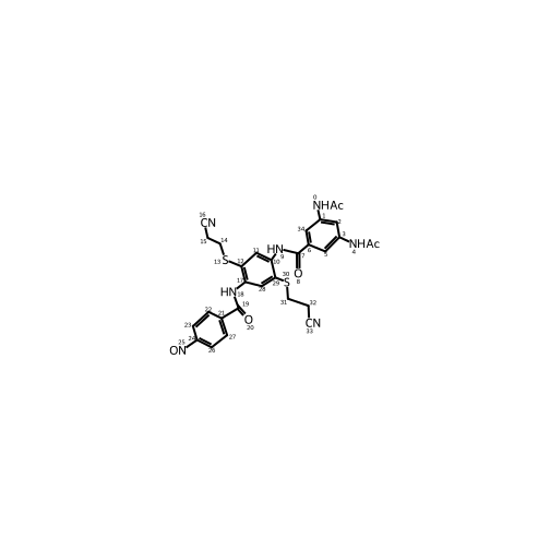 CC(=O)Nc1cc(NC(C)=O)cc(C(=O)Nc2cc(SCCC#N)c(NC(=O)c3ccc(N=O)cc3)cc2SCCC#N)c1